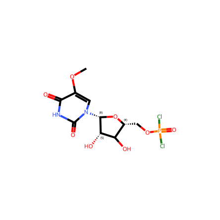 COc1cn([C@@H]2O[C@H](COP(=O)(Cl)Cl)C(O)[C@@H]2O)c(=O)[nH]c1=O